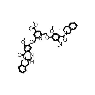 C=Nc1cc(OCc2cc(C(=O)OC)cc(COc3cc4c(cc3OC)C(=O)N3Cc5ccccc5C[C@H]3C=N4)n2)c(OC)cc1C(=O)N1Cc2ccccc2C[C@H]1C